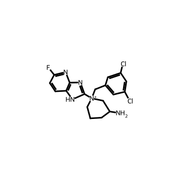 NC1CCC[N+](Cc2cc(Cl)cc(Cl)c2)(c2nc3nc(F)ccc3[nH]2)C1